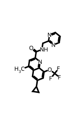 Cc1cc(C(=O)NCc2ncccn2)nc2c(OC(F)(F)F)cc(C3CC3)cc12